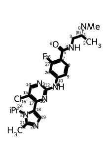 CN[C@H](C)CNC(=O)c1ccc(Nc2ncc(Cl)c(-c3cnc(C)n3C(C)C)n2)cc1F